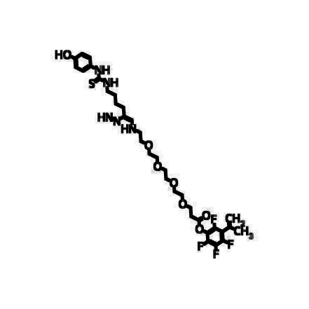 C=C(C)c1c(F)c(F)c(F)c(OC(=O)CCOCCOCCOCCOCCN/C=C(/CCCCNC(=S)Nc2ccc(O)cc2)N=N)c1F